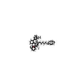 NC(=O)c1cccc(-c2cn[nH]c2)c1-c1nc(CCCCCCN2CCOCC2)cn1-c1ccccc1